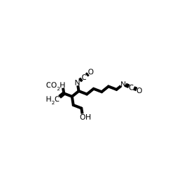 C=C(C(=O)O)C(CCO)C(CCCCCN=C=O)N=C=O